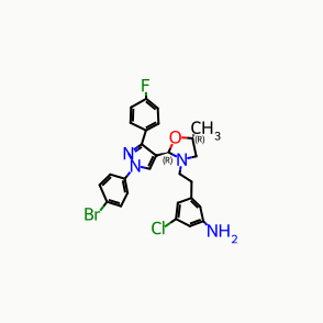 C[C@@H]1CN(CCc2cc(N)cc(Cl)c2)[C@@H](c2cn(-c3ccc(Br)cc3)nc2-c2ccc(F)cc2)O1